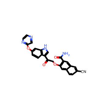 N#Cc1ccc2cc(OCC(=O)c3c[nH]c4cc(Oc5cnccn5)ccc34)c(C(N)=O)cc2c1